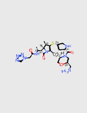 C[C@H](NC(=O)Cn1cnnn1)[C@H]1C(=O)N2C(C(=O)O)=C(S[C@@H]3CN[C@H](C(=O)N4CCO[C@H](CN)C4)C3)[C@H](C)[C@H]12